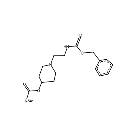 CNC(=O)OC1CCN(CCNC(=O)OCc2ccccc2)CC1